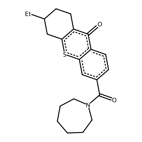 CCC1CCc2c(sc3cc(C(=O)N4CCCCCC4)ccc3c2=O)C1